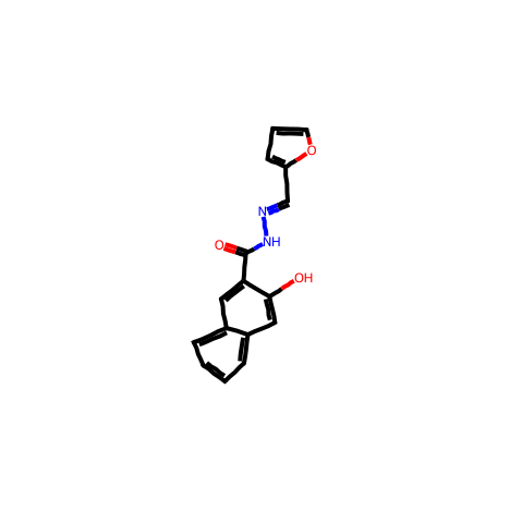 O=C(NN=Cc1ccco1)c1cc2ccccc2cc1O